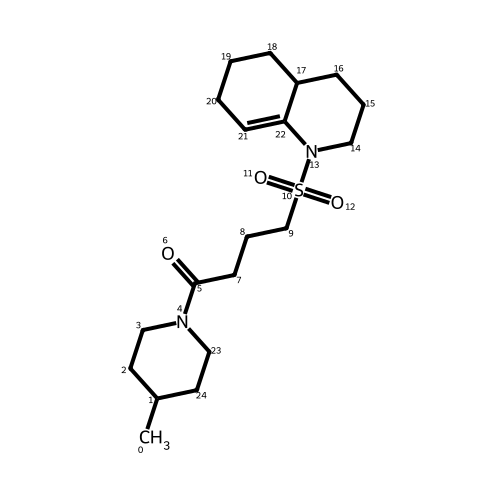 CC1CCN(C(=O)CCCS(=O)(=O)N2CCCC3CCCC=C32)CC1